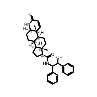 C[C@]12C=CC(=O)N[C@@H]1CC[C@@H]1[C@@H]2CC[C@]2(C)[C@@H](C(=O)NC(c3ccccc3)C(O)c3ccccc3)CC[C@@H]12